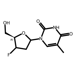 Cc1cn(C2CC(F)[C@@H](CO)O2)c(=O)[nH]c1=O